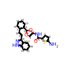 Nc1ccc(C(=O)NC2=COC(c3ccccc3/C=C/c3n[nH]c4ccccc34)O2)s1